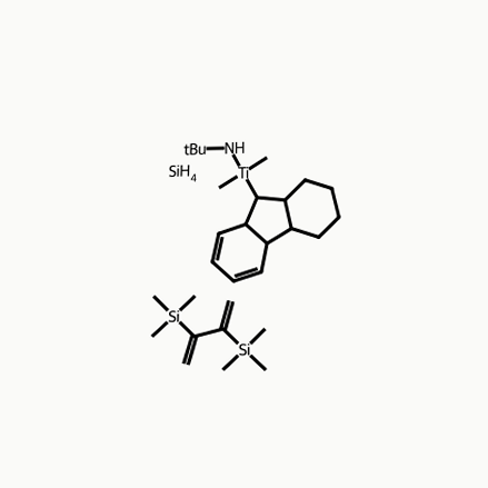 C=C(C(=C)[Si](C)(C)C)[Si](C)(C)C.CC(C)(C)[NH][Ti]([CH3])([CH3])[CH]1C2C=CC=CC2C2CCCCC21.[SiH4]